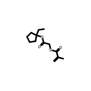 C=C(C)C(=O)OCC(=O)OC1(CC)CCCC1